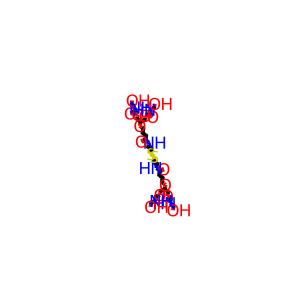 O=C(CCCOC(COCNCO)COCNCO)NCCSSCCNC(=O)CCCOC(COC(=O)NCO)COC(=O)NCO